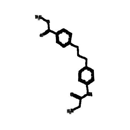 COC(=O)c1ccc(CCCc2ccc(NC(=O)CN)cc2)cc1